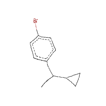 CC(c1ccc(Br)cc1)C1CC1